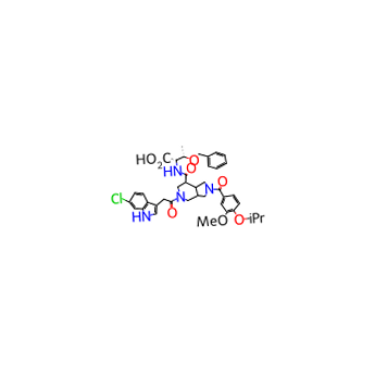 COc1cc(C(=O)N2CC3CN(C(=O)Cc4c[nH]c5cc(Cl)ccc45)CC(C(=O)N[C@H](C(=O)O)[C@H](C)OCc4ccccc4)C3C2)ccc1OC(C)C